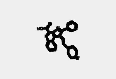 O=C(O)c1nc2ccccc2c2c1nc(-c1ccccc1)n2CCC1CCNCC1